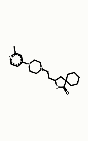 Cc1cc(N2CCN(CCC3CC4(CCCCC4)C(=O)O3)CC2)ccn1